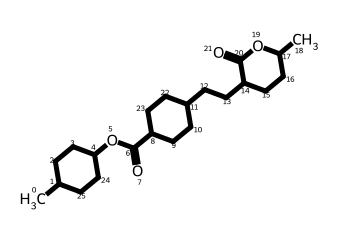 CC1CCC(OC(=O)C2CCC(CCC3CCC(C)OC3=O)CC2)CC1